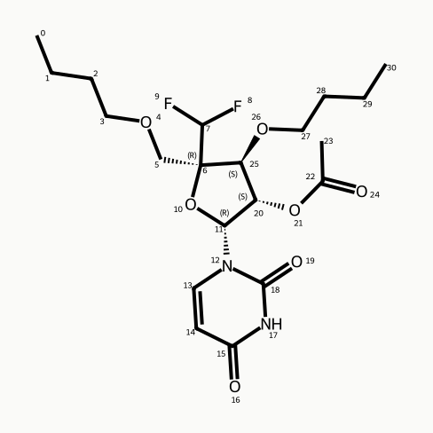 CCCCOC[C@@]1(C(F)F)O[C@@H](n2ccc(=O)[nH]c2=O)[C@@H](OC(C)=O)[C@@H]1OCCCC